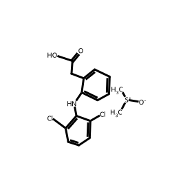 C[S+](C)[O-].O=C(O)Cc1ccccc1Nc1c(Cl)cccc1Cl